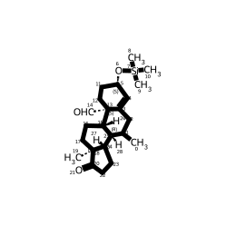 CC1CC2=C[C@@H](O[Si](C)(C)C)CC[C@]2(C=O)[C@H]2CC[C@]3(C)C(=O)CC[C@H]3[C@H]12